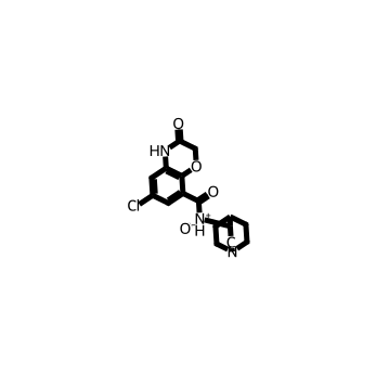 O=C1COc2c(cc(Cl)cc2C(=O)[NH+]([O-])C2CN3CCC2CC3)N1